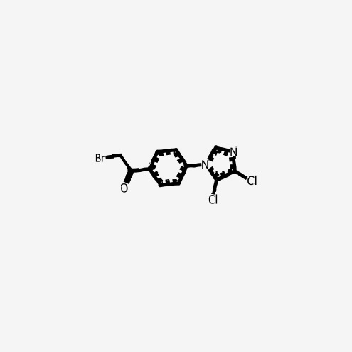 O=C(CBr)c1ccc(-n2cnc(Cl)c2Cl)cc1